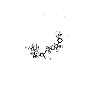 Cc1cc(NS(=O)(=O)NC(=O)OC(C)(C)C)ccc1C=CS(=O)(=O)N1CCC2(CC1)N=C(c1cccc(OC(F)(F)F)c1)NC2=O